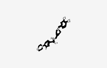 O=C(NCC1C2CN(Cc3ccc(Cl)c(Cl)c3)CC12)c1ccc(N2CCOCC2)c(F)c1